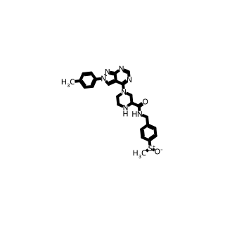 Cc1ccc(-n2cc3c(N4CCNC(C(=O)NCc5ccc([S+](C)[O-])cc5)C4)ncnc3n2)cc1